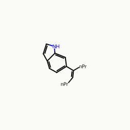 CCC/C=C(/CCC)c1ccc2cc[nH]c2c1